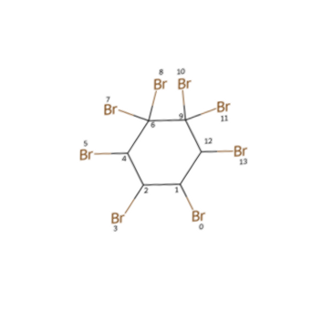 BrC1C(Br)C(Br)C(Br)(Br)C(Br)(Br)C1Br